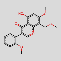 COCc1c(OC)cc(O)c2c(=O)c(-c3ccccc3OC)coc12